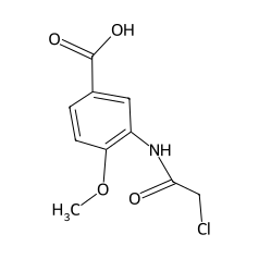 COc1ccc(C(=O)O)cc1NC(=O)CCl